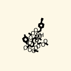 C#Cc1ccc(CC(=O)NC[C@@H](OC(C)=O)[C@@H](OC(C)=O)[C@@H]2O[C@@](Sc3ccc(C)cc3)(C(=O)OC)C[C@H](OC(C)=O)[C@H]2NC(=O)COC(C)=O)cc1